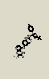 Cc1ccc(-n2nc(C(C)(C)C)cc2NC(=O)NC2CC=C(Oc3ccnc4nc(N)c(=O)[nH]c34)C=C2F)cc1